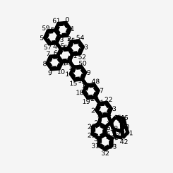 c1ccc2c(-c3c4ccccc4c(-c4ccc(-c5ccc(-c6ccc7c(c6)-c6ccc8ccccc8c6C76C7CC8CC(C7)CC6C8)cc5)cc4)c4ccccc34)cccc2c1